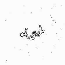 CC(Cc1c[nH]c2ccccc12)NC(=O)c1nnc(N2CCN(C)C(CF)C2)[nH]1